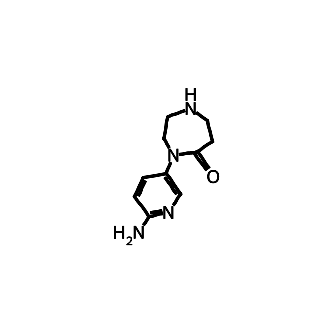 Nc1ccc(N2CCNCCC2=O)cn1